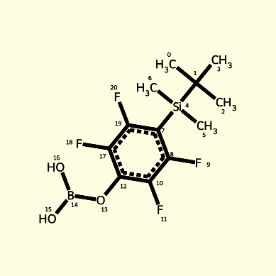 CC(C)(C)[Si](C)(C)c1c(F)c(F)c(OB(O)O)c(F)c1F